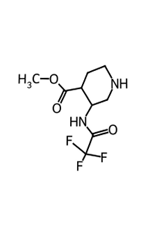 COC(=O)C1CCNCC1NC(=O)C(F)(F)F